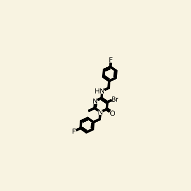 Cc1nc(NCc2ccc(F)cc2)c(Br)c(=O)n1Cc1ccc(F)cc1